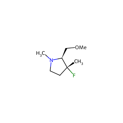 COC[C@@H]1N(C)CC[C@@]1(C)F